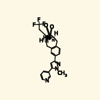 Cn1nc(-c2ccc3c(c2)C[C@H]2CC[C@@H](C3)[C@]23CN(CC(F)(F)F)S(=O)(=O)N3)cc1-c1cccnc1